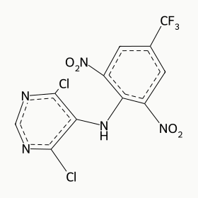 O=[N+]([O-])c1cc(C(F)(F)F)cc([N+](=O)[O-])c1Nc1c(Cl)ncnc1Cl